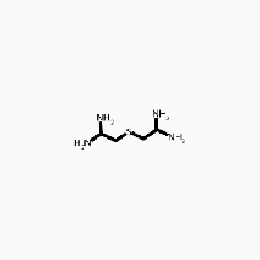 NC(N)CSCC(N)N